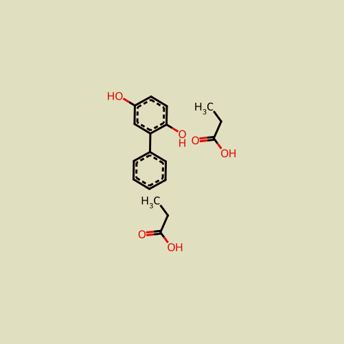 CCC(=O)O.CCC(=O)O.Oc1ccc(O)c(-c2ccccc2)c1